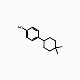 CC(=O)c1ccc(C2CCC(C)(C)CC2)cc1